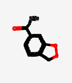 CNC(=O)c1ccc2c(c1)OOC2